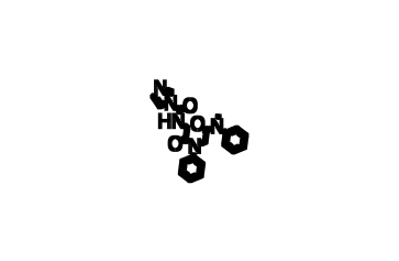 CN(C(=O)CN(C(=O)CNC(=O)n1ccnc1)c1ccccc1)c1ccccc1